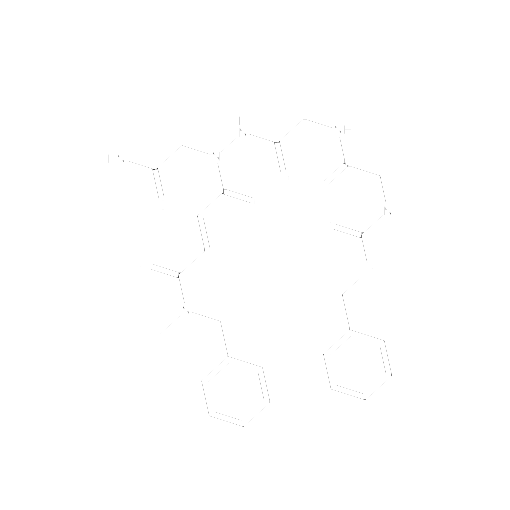 C[C@H](NC(=O)OCc1ccccc1)C(=O)N[C@@H](C)C(=O)NN(CC(N)=O)C(=O)/C=C/C(=O)N(C)Cc1ccccc1